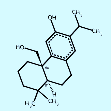 CC(C)c1cc2c(cc1O)[C@@]1(CO)CCCC(C)(C)[C@@H]1CC2